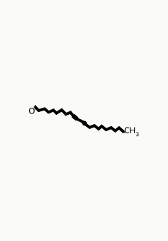 CCCCCCCCCCC#CC#CCCCCCCCC[C]=O